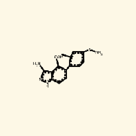 COc1c(-c2ccc(SN)cc2C)ccc2[nH]nc(N)c12